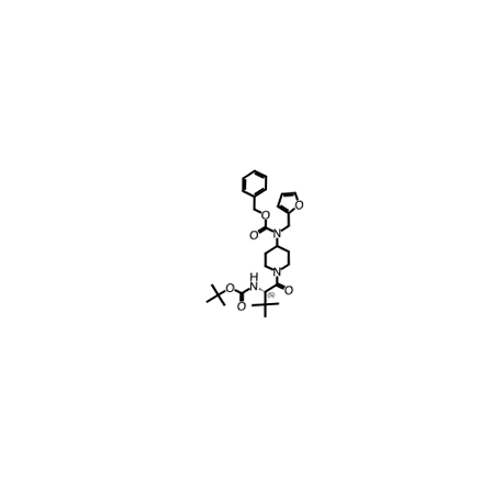 CC(C)(C)OC(=O)N[C@H](C(=O)N1CCC(N(Cc2ccco2)C(=O)OCc2ccccc2)CC1)C(C)(C)C